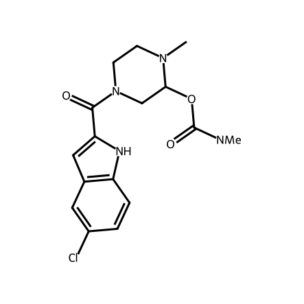 CNC(=O)OC1CN(C(=O)c2cc3cc(Cl)ccc3[nH]2)CCN1C